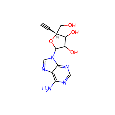 C#C[C@]1(CO)OC(n2cnc3c(N)ncnc32)C(O)C1O